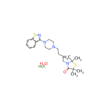 CC1(C)SC(C)(C)N(CCCCN2CCN(c3nsc4ccccc34)CC2)C1=O.Cl.O